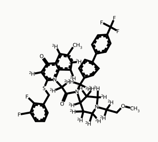 [2H]c1c(C)c([2H])c2c(=O)c([2H])c(SCc3cccc(F)c3F)n(C([2H])([2H])C(=O)N(C([2H])([2H])c3ccc(-c4ccc(C(F)(F)F)cc4)cc3)C3([2H])C([2H])([2H])C([2H])([2H])N(C([2H])([2H])COC)C([2H])([2H])C3([2H])[2H])c2c1[2H]